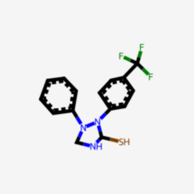 FC(F)(F)c1ccc(N2C(S)NCN2c2ccccc2)cc1